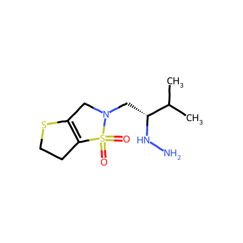 CC(C)[C@@H](CN1CC2=C(CCS2)S1(=O)=O)NN